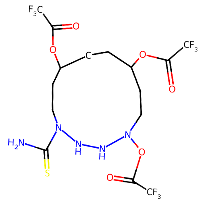 NC(=S)N1CCC(OC(=O)C(F)(F)F)CCC(OC(=O)C(F)(F)F)CCN(OC(=O)C(F)(F)F)NN1